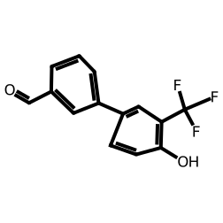 O=Cc1cccc(-c2ccc(O)c(C(F)(F)F)c2)c1